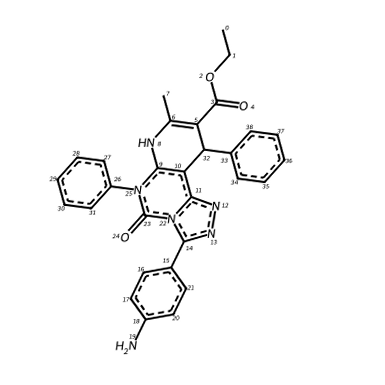 CCOC(=O)C1=C(C)Nc2c(c3nnc(-c4ccc(N)cc4)n3c(=O)n2-c2ccccc2)C1c1ccccc1